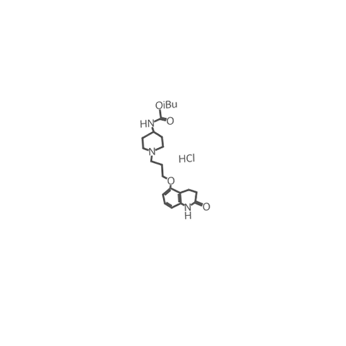 CC(C)COC(=O)NC1CCN(CCCOc2cccc3c2CCC(=O)N3)CC1.Cl